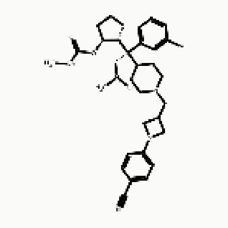 CNC(=O)O[C@H]1CCC[C@@H]1[C@@](CN(C)C)(c1cccc(F)c1)C1CCN(CC2CN(c3ccc(C#N)cc3)C2)CC1